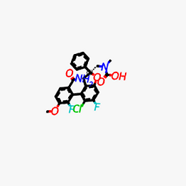 COc1ccc(C(N)=O)c(-c2c(Cl)c(F)cc3c2C[C@@](CN(C)C(=O)O)(c2ccccc2)O3)c1F